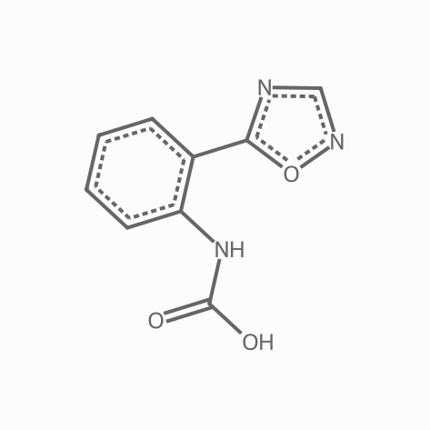 O=C(O)Nc1ccccc1-c1ncno1